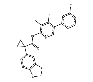 Cc1c(-c2cccc(Cl)c2)cnc(NC(=O)C2(c3ccc4c(c3)OCO4)CC2)c1C